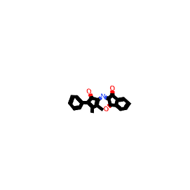 CC1=C(N=c2c(=O)c3ccccc3c2=O)C(=O)C(c2ccccc2)=C1C